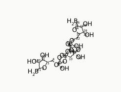 B[C@@H]1O[C@H](COP(=O)(O)OP(=O)(O)CP(=O)(O)OP(=O)(O)OC[C@H]2O[C@@H](B)C(O)[C@H]2O)C(O)C1O